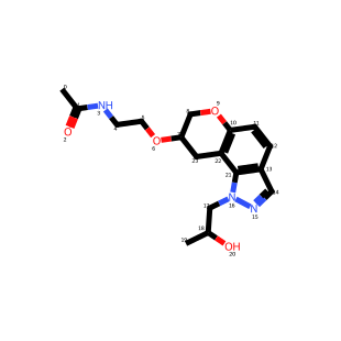 CC(=O)NCCOC1COc2ccc3cnn(CC(C)O)c3c2C1